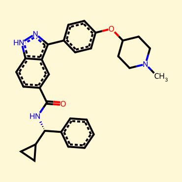 CN1CCC(Oc2ccc(-c3n[nH]c4ccc(C(=O)N[C@H](c5ccccc5)C5CC5)cc34)cc2)CC1